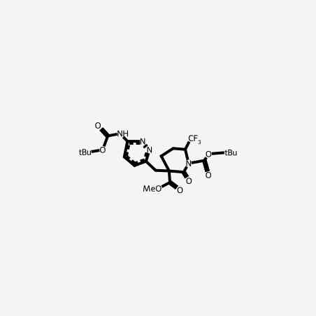 COC(=O)C1(Cc2ccc(NC(=O)OC(C)(C)C)nn2)CCC(C(F)(F)F)N(C(=O)OC(C)(C)C)C1=O